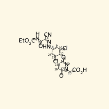 CCOC(=O)NC(=O)C(C#N)=NNc1cc(Cl)c(Oc2ccc(=O)n(CC(=O)O)n2)c(Cl)c1